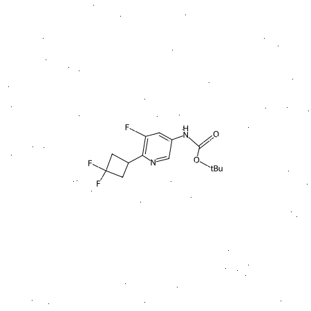 CC(C)(C)OC(=O)Nc1cnc(C2CC(F)(F)C2)c(F)c1